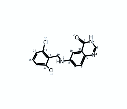 O=c1[nH]cnc2ccc(NCc3c(Cl)cccc3Cl)cc12